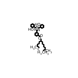 CCC(C)CCCCCC(CCCC(C)CC)COC(=O)c1cccc(-c2nc(-c3ccccc3O)nc(-c3ccccc3O)n2)c1